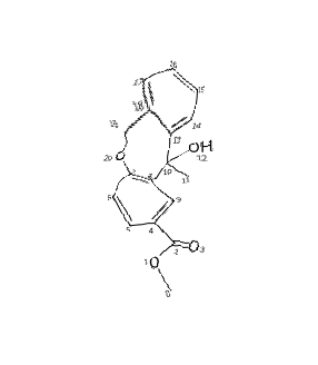 COC(=O)c1ccc2c(c1)C(C)(O)c1ccccc1CO2